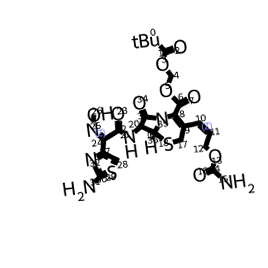 CC(C)(C)C(=O)OCOC(=O)C1=C(/C=C\COC(N)=O)CS[C@@H]2C(NC(=O)/C(=N\O)c3csc(N)n3)C(=O)N12